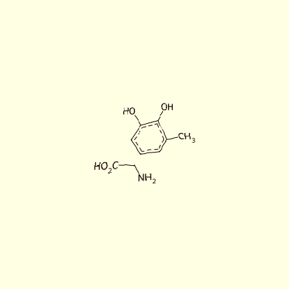 Cc1cccc(O)c1O.NCC(=O)O